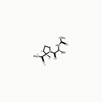 COC(=O)N[C@H](C(=O)N1CCC[C@@]1(C)C(=O)OC)C(C)C